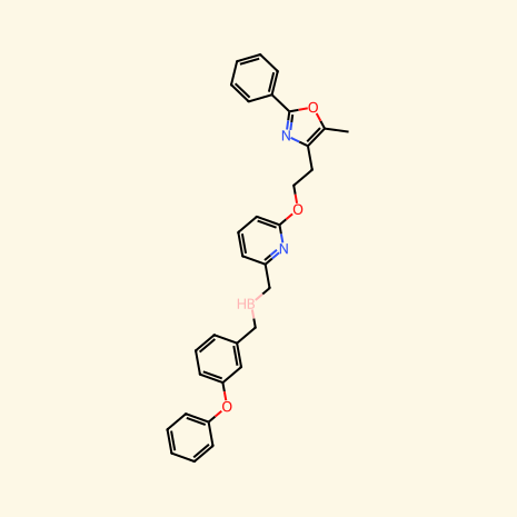 Cc1oc(-c2ccccc2)nc1CCOc1cccc(CBCc2cccc(Oc3ccccc3)c2)n1